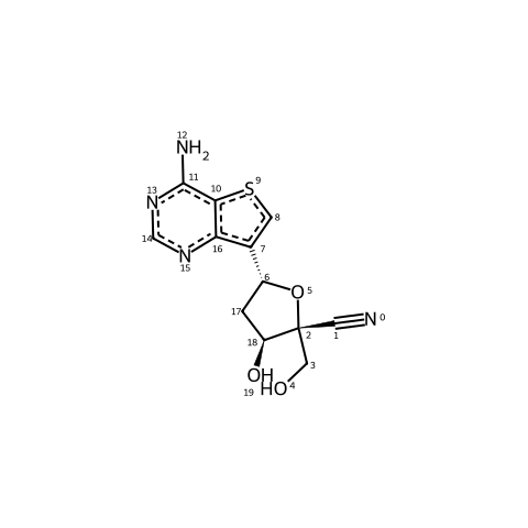 N#C[C@]1(CO)O[C@@H](c2csc3c(N)ncnc23)C[C@@H]1O